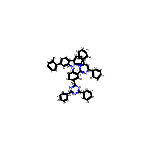 Cc1ccccc1-c1ccc2c3ccccc3n(-c3ccc(-c4nc(-c5ccccc5)nc(-c5ccccc5)n4)cc3-c3nc(-c4ccccc4)cc(-c4ccccc4)n3)c2c1